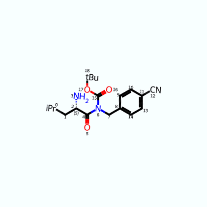 CC(C)C[C@H](N)C(=O)N(Cc1ccc(C#N)cc1)C(=O)OC(C)(C)C